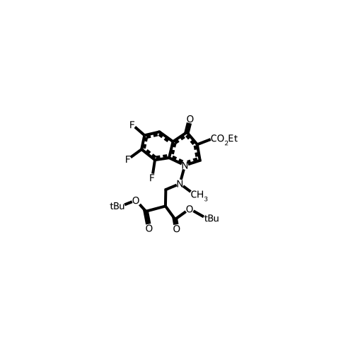 CCOC(=O)c1cn(N(C)CC(C(=O)OC(C)(C)C)C(=O)OC(C)(C)C)c2c(F)c(F)c(F)cc2c1=O